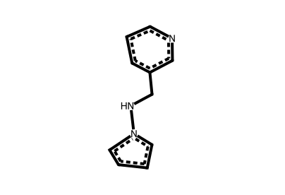 c1cncc(CNn2cccc2)c1